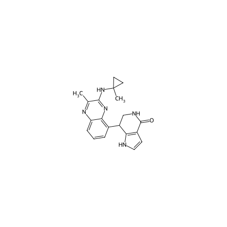 Cc1nc2cccc(C3CNC(=O)c4cc[nH]c43)c2nc1NC1(C)CC1